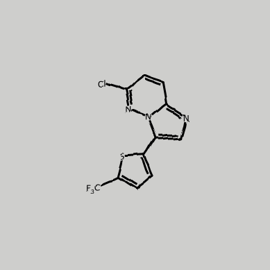 FC(F)(F)c1ccc(-c2cnc3ccc(Cl)nn23)s1